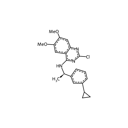 COc1cc2nc(Cl)nc(N[C@H](C)c3cccc(C4CC4)c3)c2cc1OC